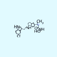 C/C(=C/C(=O)NO)c1ccc2c(c1)CCC2NCCc1c[nH]c2ccc(Cl)cc12